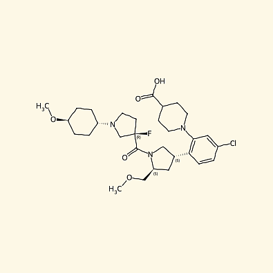 COC[C@@H]1C[C@@H](c2ccc(Cl)cc2N2CCC(C(=O)O)CC2)CN1C(=O)[C@@]1(F)CCN([C@H]2CC[C@H](OC)CC2)C1